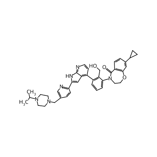 CC(C)N1CCN(Cc2ccc(-c3cc4c(-c5cccc(N6CCOc7cc(C8CC8)ccc7C6=O)c5CO)ccnc4[nH]3)nc2)CC1